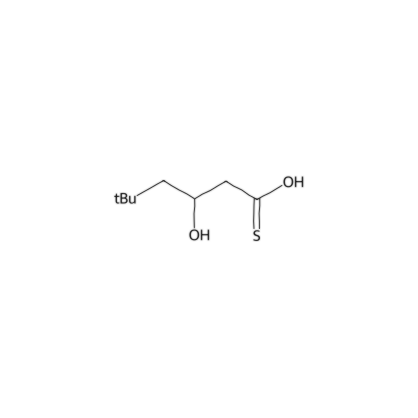 CC(C)(C)CC(O)CC(O)=S